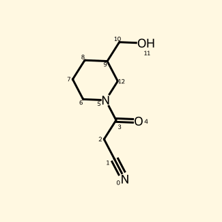 N#CCC(=O)N1CCCC(CO)C1